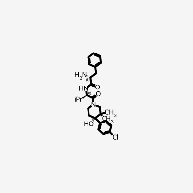 CC(C)[C@@H](NC(=O)[C@H](N)Cc1ccccc1)C(=O)N1CC[C@](O)(c2ccc(Cl)cc2)C(C)(C)C1